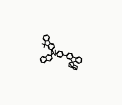 CC1(C)c2ccccc2-c2ccc(N(c3ccc(-c4ccc5c(c4)C4(c6ccccc6-5)C5CC6CC(C5)C4C6)cc3)c3ccc4ccccc4c3)cc21